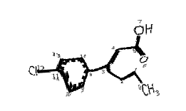 CCCC(=CC(=O)O)c1ccc(Cl)cc1